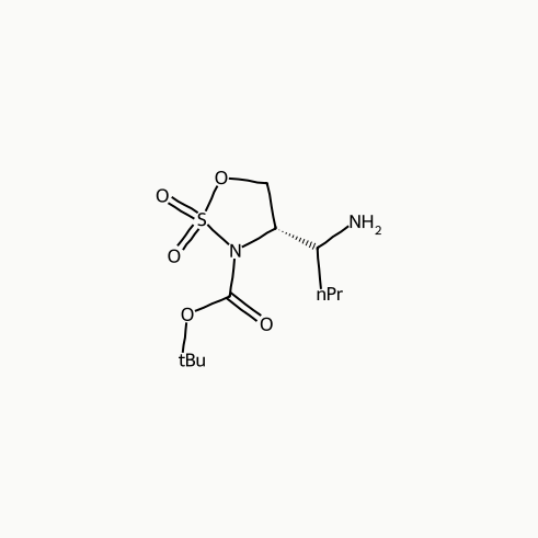 CCCC(N)[C@H]1COS(=O)(=O)N1C(=O)OC(C)(C)C